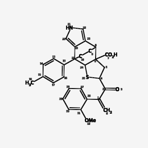 C=C(C(=O)C1CC2(C(=O)O)C3CCC(c4ccc(C)cc4)(c4c[nH]cc43)C2S1)c1ccccc1OC